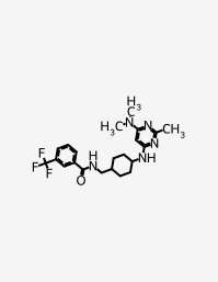 Cc1nc(NC2CCC(CNC(=O)c3cccc(C(F)(F)F)c3)CC2)cc(N(C)C)n1